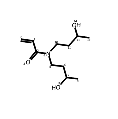 C=CC(=O)N(CCC(C)O)CCC(C)O